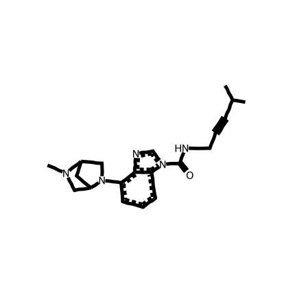 CC(C)C#CCNC(=O)n1cnc2c(N3CC4CC3CN4C)cccc21